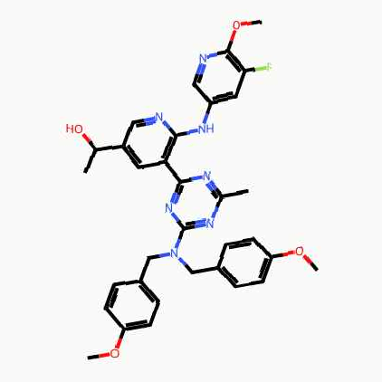 COc1ccc(CN(Cc2ccc(OC)cc2)c2nc(C)nc(-c3cc(C(C)O)cnc3Nc3cnc(OC)c(F)c3)n2)cc1